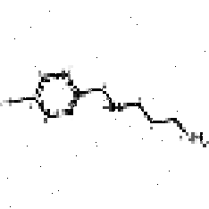 NCCCNCc1ccc(F)cn1